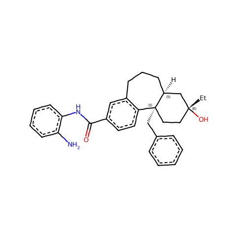 CC[C@@]1(O)CC[C@@]2(Cc3ccccc3)c3ccc(C(=O)Nc4ccccc4N)cc3CCC[C@H]2C1